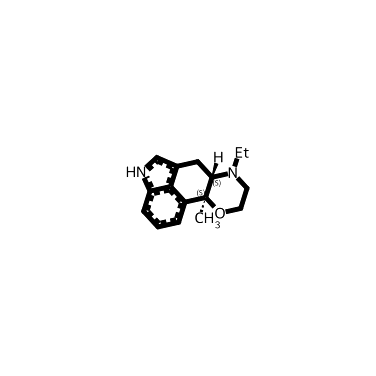 CCN1CCO[C@@]2(C)c3cccc4[nH]cc(c34)C[C@H]12